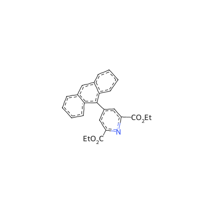 CCOC(=O)c1cc(-c2c3ccccc3cc3ccccc23)cc(C(=O)OCC)n1